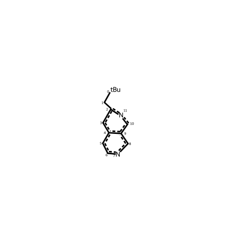 CC(C)(C)Cc1cc2ccncc2cn1